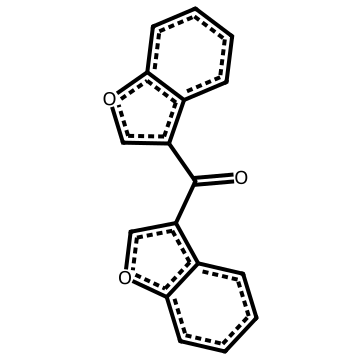 O=C(c1coc2ccccc12)c1coc2ccccc12